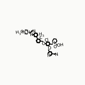 Cc1c(COc2cc(OCc3cncc(C#N)c3)c(CN3CCCC[C@H]3C(=O)O)cc2Cl)cccc1-c1ccc2ncc(N3CCN(C)CC3)nc2c1